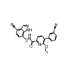 CCOc1nc(C(=O)N[C@H](C)c2ccc(C#N)c3cn[nH]c23)ccc1-c1cccc(C#N)c1